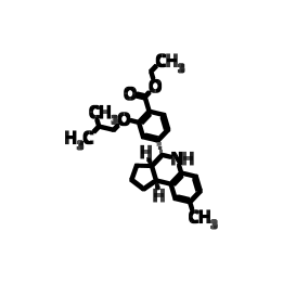 CCOC(=O)c1ccc([C@@H]2Nc3ccc(C)cc3[C@@H]3CCC[C@@H]32)cc1OCC(C)C